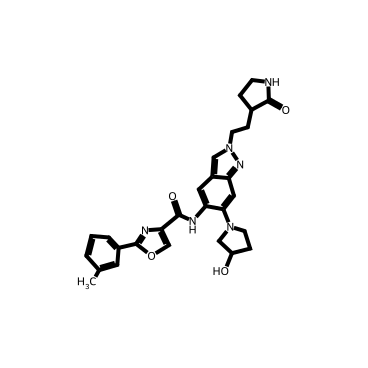 Cc1cccc(-c2nc(C(=O)Nc3cc4cn(CCC5CCNC5=O)nc4cc3N3CCC(O)C3)co2)c1